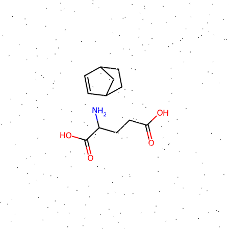 C1=CC2CCC1C2.NC(CCC(=O)O)C(=O)O